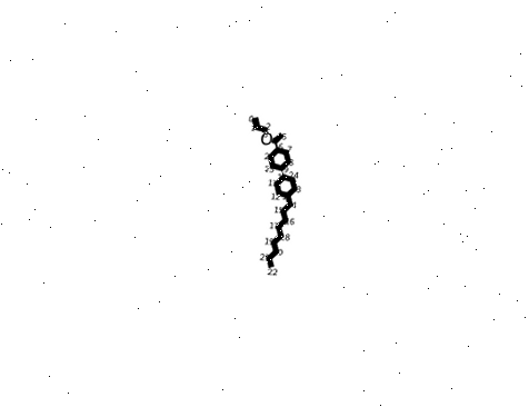 C=CCOC(C)[C@H]1CC[C@H](C2CCC(CCCCCCCCC)CC2)CC1